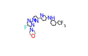 Fc1cnc(-n2ccc(-c3ccc(Nc4cccc(C(F)(F)F)c4)cn3)n2)nc1N1CCOCC1